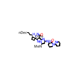 CCCCCCCCCCCCC[C@@H]1CC[C@]1(OC)c1nn2c(NC)cc(Nc3cccn(-c4ccccn4)c3=O)nc2c1C(N)=O